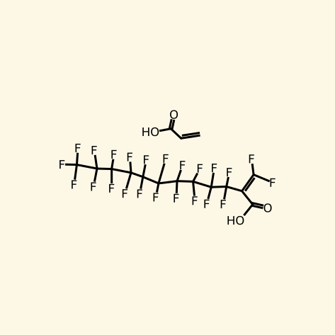 C=CC(=O)O.O=C(O)C(=C(F)F)C(F)(F)C(F)(F)C(F)(F)C(F)(F)C(F)(F)C(F)(F)C(F)(F)C(F)(F)C(F)(F)C(F)(F)F